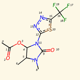 CC(=O)OC1C(C)N(C)C(=O)N1c1nnc(C(F)(F)F)s1